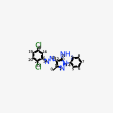 Cc1nn(-c2ccccc2)c(N)c1/N=N/c1cc(Cl)ccc1Cl